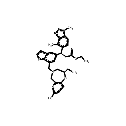 CCOC(=O)C[C@@H](c1cc(CN2Cc3nc(O)ccc3O[C@H](CC)C2)c2sccc2c1)c1cnc2c(nnn2C)c1C